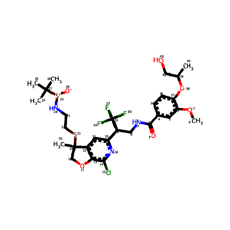 COc1cc(C(=O)NCC(c2cc3c(c(Cl)n2)OCC3(C)SCCN[S+]([O-])C(C)(C)C)C(F)(F)F)ccc1OC(C)CO